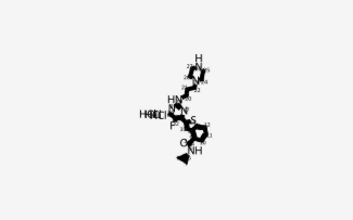 Cl.Cl.Cl.O=C(NC1CC1)c1cccc2sc(-c3nc(NCCCN4CCNCC4)ncc3F)cc12